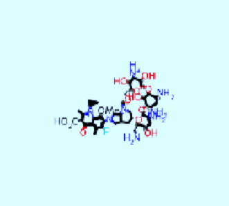 COc1c(N2CC3CCCN(COC[C@H]4O[C@H](O[C@@H]5[C@@H](O)[C@H](O[C@H]6O[C@H](CN)[C@@H](O)C[C@H]6N)[C@@H](N)C[C@H]5N)[C@H](O)[C@@H](N)[C@@H]4O)C3C2)c(F)c(C)c2c(=O)c(C(=O)O)c(C)n(C3CC3)c12